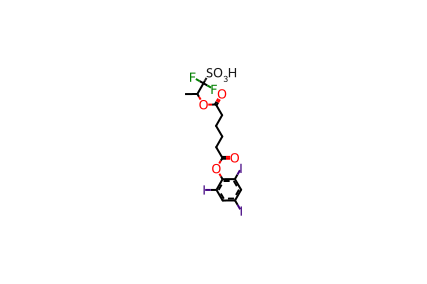 CC(OC(=O)CCCCC(=O)Oc1c(I)cc(I)cc1I)C(F)(F)S(=O)(=O)O